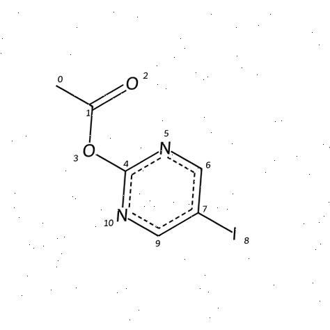 CC(=O)Oc1ncc(I)cn1